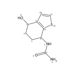 NC(=O)NC1CCC(O)c2ccsc21